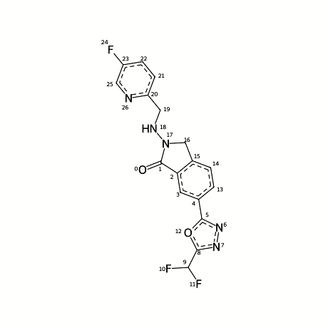 O=C1c2cc(-c3nnc(C(F)F)o3)ccc2CN1NCc1ccc(F)cn1